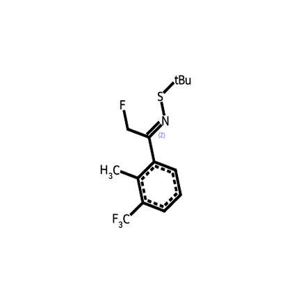 Cc1c(/C(CF)=N/SC(C)(C)C)cccc1C(F)(F)F